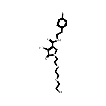 NCCOCCOCCN1CC(C(=O)NCCc2ccc(Cl)cc2)=C(O)C1=O